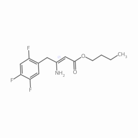 CCCCOC(=O)/C=C(\N)Cc1cc(F)c(F)cc1F